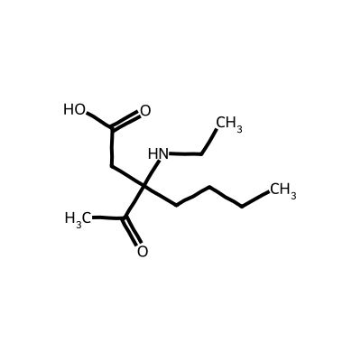 CCCCC(CC(=O)O)(NCC)C(C)=O